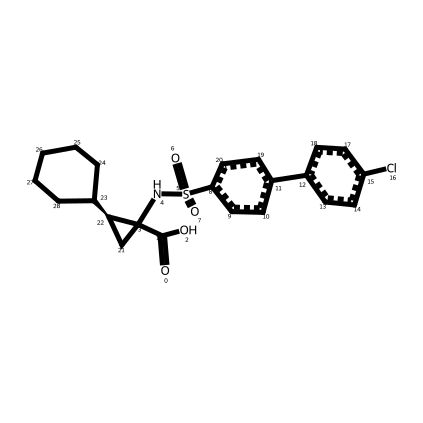 O=C(O)C1(NS(=O)(=O)c2ccc(-c3ccc(Cl)cc3)cc2)C[C@H]1C1CCCCC1